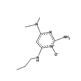 CCCNc1cc(N(C)C)nc(N)[n+]1[O-]